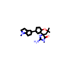 CN1C(=O)C2(CC(C)(C)Oc3ccc(-c4ccc5c(ccn5C)c4)cc32)N=C1N